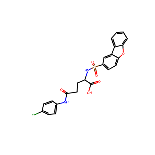 O=C(CCC(NS(=O)(=O)c1ccc2oc3ccccc3c2c1)C(=O)O)Nc1ccc(Cl)cc1